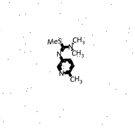 CSC(=Nc1ccc(C)nc1)N(C)C